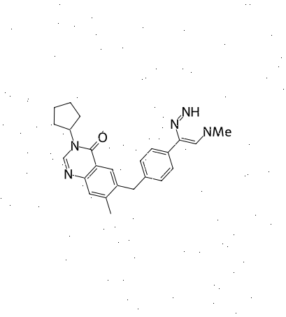 CN/C=C(\N=N)c1ccc(Cc2cc3c(=O)n(C4CCCC4)cnc3cc2C)cc1